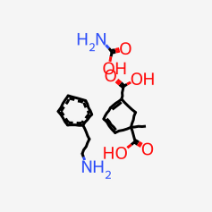 CC1(C(=O)O)C=CC=C(C(=O)O)C1.NC(=O)O.NCCc1ccccc1